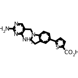 Nc1ncc(CN2CCc3cc(-c4ccc(C(=O)O)s4)ccc32)c(N)n1